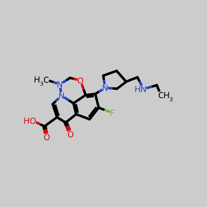 CCNCC1CCN(c2c(F)cc3c(=O)c(C(=O)O)cn4c3c2OCN4C)C1